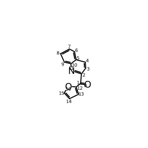 O=C(c1ccc2ccccc2n1)c1ccco1